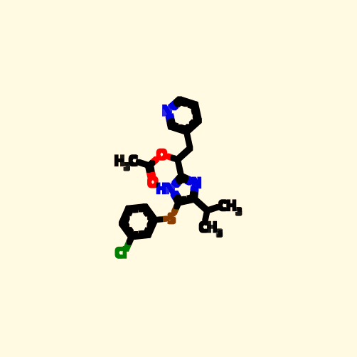 CC(=O)OC(Cc1cccnc1)c1nc(C(C)C)c(Sc2cccc(Cl)c2)[nH]1